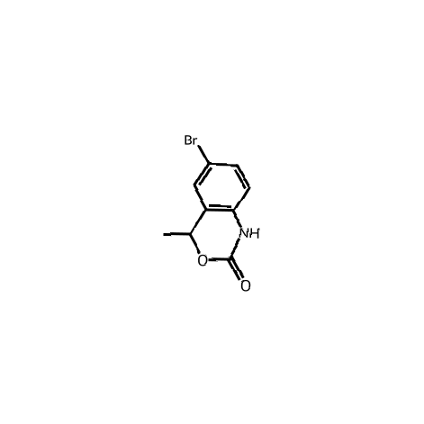 CC1OC(=O)Nc2ccc(Br)cc21